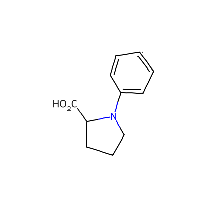 O=C(O)C1CCCN1c1cc[c]cc1